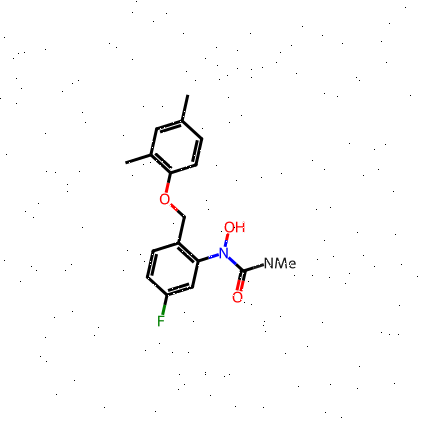 CNC(=O)N(O)c1cc(F)ccc1COc1ccc(C)cc1C